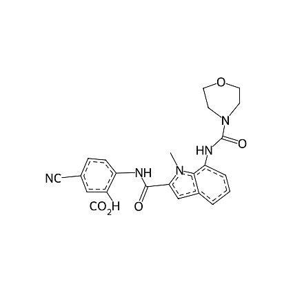 Cn1c(C(=O)Nc2ccc(C#N)cc2C(=O)O)cc2cccc(NC(=O)N3CCOCC3)c21